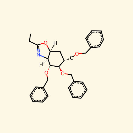 CCC1=N[C@@H]2[C@@H](OCc3ccccc3)[C@H](OCc3ccccc3)[C@@H](COCc3ccccc3)C[C@@H]2O1